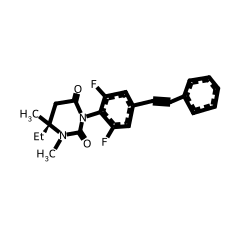 CC[C@@]1(C)CC(=O)N(c2c(F)cc(C#Cc3ccccc3)cc2F)C(=O)N1C